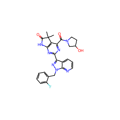 CC1(C)C(=O)Nc2nc(-c3nn(Cc4ccccc4F)c4ncccc34)nc(C(=O)N3CCC(O)C3)c21